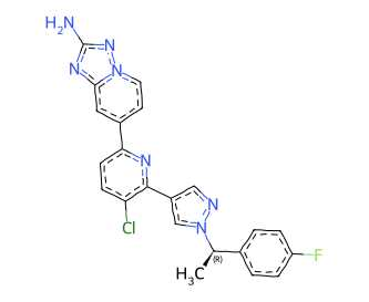 C[C@H](c1ccc(F)cc1)n1cc(-c2nc(-c3ccn4nc(N)nc4c3)ccc2Cl)cn1